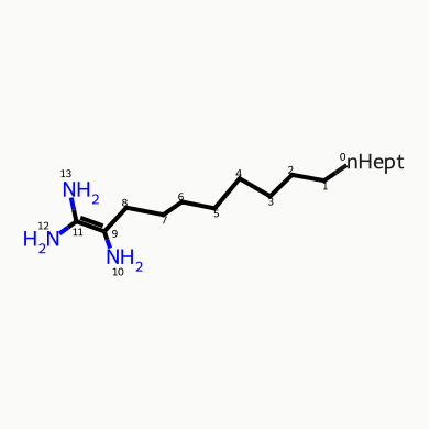 CCCCCCCCCCCCCCCC(N)=C(N)N